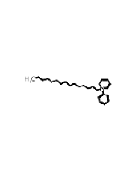 CCCCCCCCCCCCCCC[N+]1(c2ccccc2)C=CC=CC1